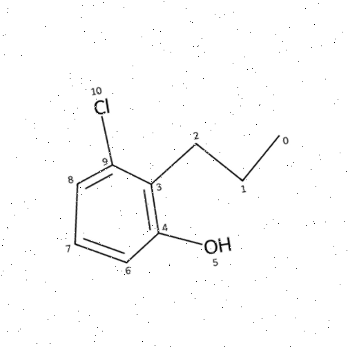 CCCc1c(O)cccc1Cl